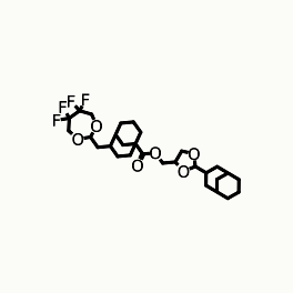 O=C(OCC1COC(C2CC3CCCC(C3)C2)O1)C12CCCC(C1)C(CC1OCC(F)(F)C(F)(F)CO1)CC2